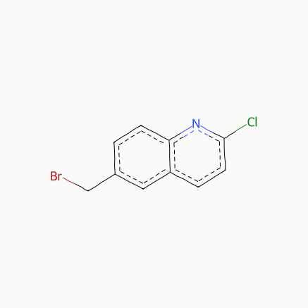 Clc1ccc2cc(CBr)ccc2n1